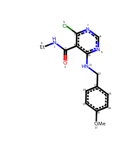 CCNC(=O)c1c(Cl)ncnc1NCc1ccc(OC)cc1